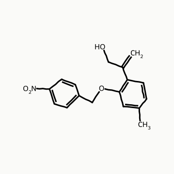 C=C(CO)c1ccc(C)cc1OCc1ccc([N+](=O)[O-])cc1